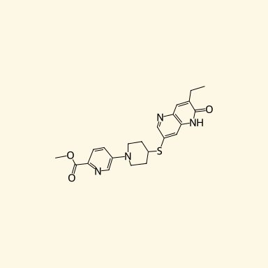 CCc1cc2ncc(SC3CCN(c4ccc(C(=O)OC)nc4)CC3)cc2[nH]c1=O